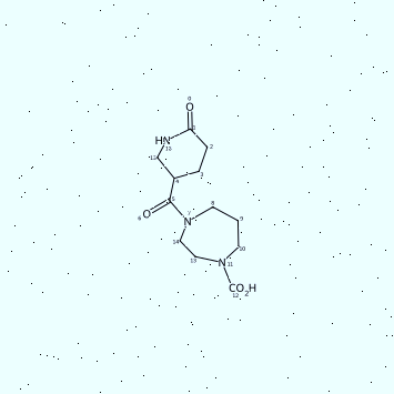 O=C1CCC(C(=O)N2CCCN(C(=O)O)CC2)CN1